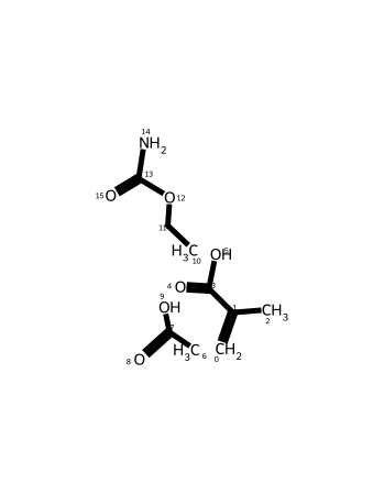 C=C(C)C(=O)O.CC(=O)O.CCOC(N)=O